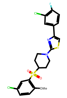 COc1ccc(Cl)cc1S(=O)(=O)C1CCN(c2nc(-c3ccc(F)c(Cl)c3)cs2)CC1